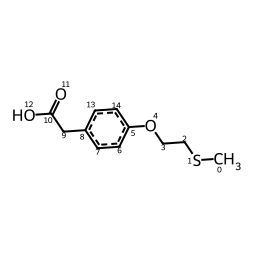 CSCCOc1ccc(CC(=O)O)cc1